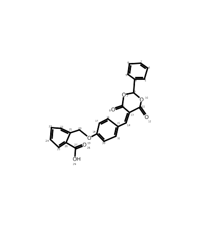 O=C1OC(c2ccccc2)OC(=O)C1=Cc1ccc(OCc2ccccc2C(=O)O)cc1